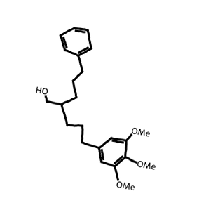 COc1cc(CCCC(CO)CCCc2ccccc2)cc(OC)c1OC